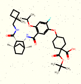 CC(C)Oc1cc(F)c(OC2CCC(C(=O)O)(C(=O)OC(C)(C)C)CC2)cc1C(=O)N[C@@H]1[C@H]2CC[C@H](C2)[C@@H]1C(=O)NCC1(C)CCC1